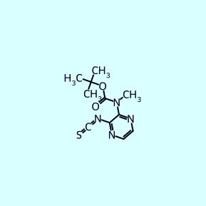 CN(C(=O)OC(C)(C)C)c1nccnc1N=C=S